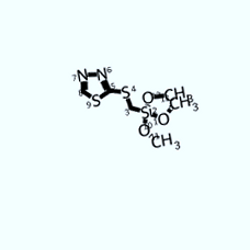 CO[Si](CSc1nncs1)(OC)OC